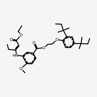 CCOC(=O)C=C(CC)Nc1cc(C(=O)OCCOc2ccc(C(C)(C)CC)cc2C(C)(C)CC)ccc1OC